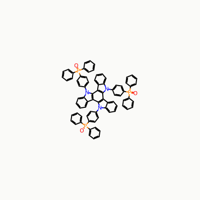 O=P(c1ccccc1)(c1ccccc1)c1ccc(-n2c3ccccc3c3c2c2c4ccccc4n(-c4ccc(P(=O)(c5ccccc5)c5ccccc5)cc4)c2c2c4ccccc4n(-c4ccc(P(=O)(c5ccccc5)c5ccccc5)cc4)c32)cc1